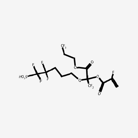 C=C(F)C(=O)OC(OCCCC(F)(F)C(F)(F)S(=O)(=O)O)(C(=O)OCCC(F)(F)F)C(F)(F)F